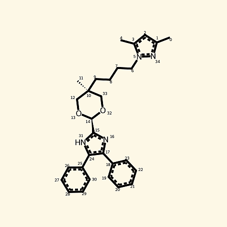 Cc1cc(C)n(CCCC[C@]2(C)CO[C@H](c3nc(-c4ccccc4)c(-c4ccccc4)[nH]3)OC2)n1